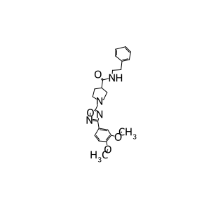 COc1ccc(-c2noc(N3CCC(C(=O)NCCc4ccccc4)CC3)n2)cc1OC